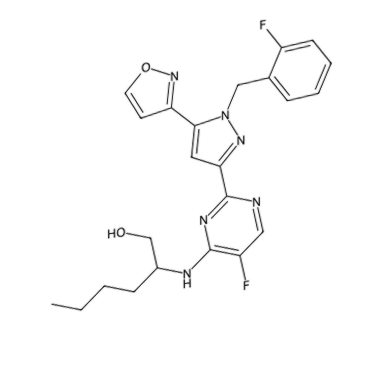 CCCCC(CO)Nc1nc(-c2cc(-c3ccon3)n(Cc3ccccc3F)n2)ncc1F